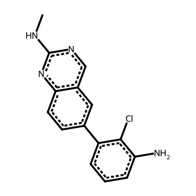 CNc1ncc2cc(-c3cccc(N)c3Cl)ccc2n1